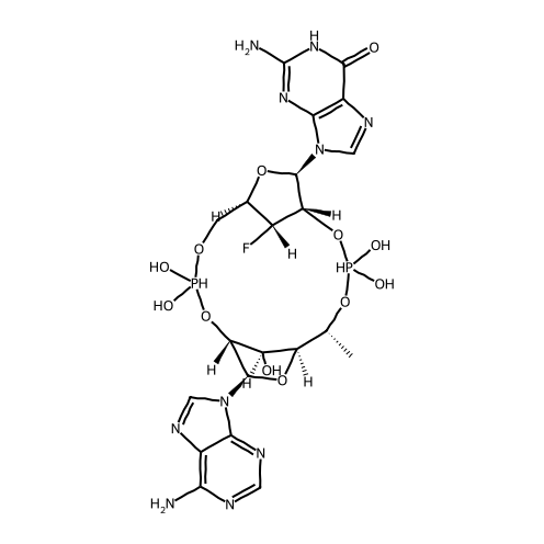 C[C@H]1O[PH](O)(O)O[C@@H]2[C@H](F)[C@@H](CO[PH](O)(O)O[C@@H]3[C@H](O)[C@@H]1O[C@H]3n1cnc3c(N)ncnc31)O[C@H]2n1cnc2c(=O)[nH]c(N)nc21